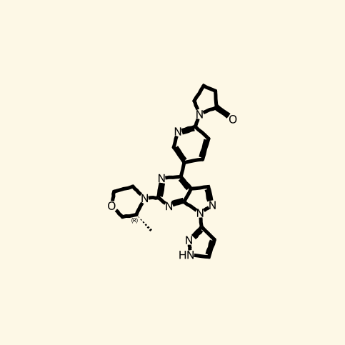 C[C@@H]1COCCN1c1nc(-c2ccc(N3CCCC3=O)nc2)c2cnn(-c3cc[nH]n3)c2n1